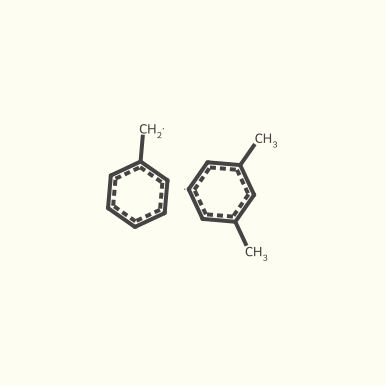 Cc1c[c]cc(C)c1.[CH2]c1ccccc1